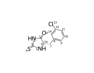 O=C1NC(=S)N[C@H]1Cc1cccc(Cl)c1